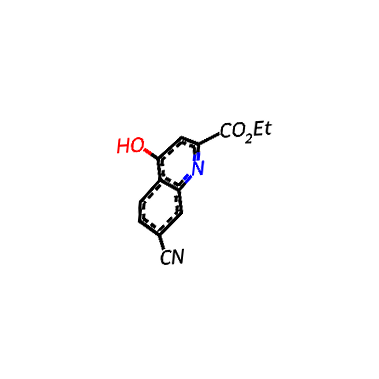 CCOC(=O)c1cc(O)c2ccc(C#N)cc2n1